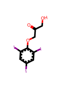 O=C(CO)COc1c(I)cc(I)cc1I